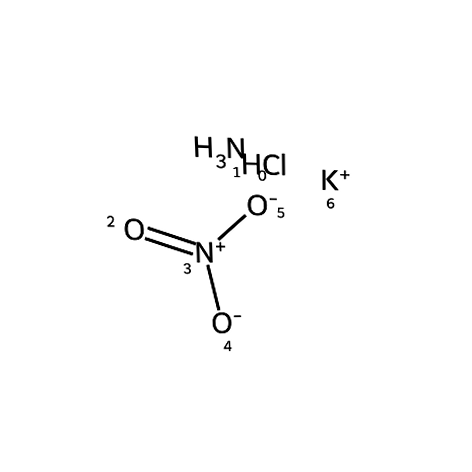 Cl.N.O=[N+]([O-])[O-].[K+]